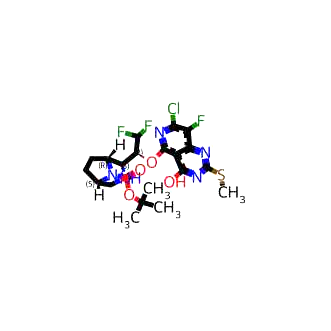 CSc1nc(O)c2c(O[C@@H](C(F)F)[C@H]3NC[C@@H]4CC[C@H]3N4C(=O)OC(C)(C)C)nc(Cl)c(F)c2n1